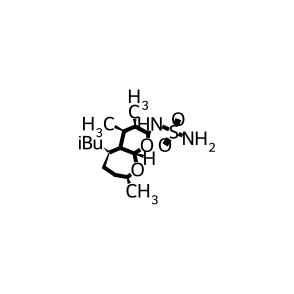 CC[C@@H](C)[C@@H]1CC[C@H](C)O[C@H]2O[C@@H](NS(N)(=O)=O)[C@H](C)[C@H](C)C21